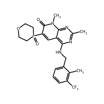 Cc1nc(NCc2cccc(C(F)(F)F)c2C)c2cc(P3(=O)CCOCC3)c(=O)n(C)c2n1